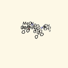 CO/N=C(/C(=O)NC1C(=O)N2C(C(=O)OC(c3ccccc3)c3ccccc3)=C(/C=C/N(C)C)COC12)c1csc(NC(c2ccccc2)(c2ccccc2)c2ccccc2)n1